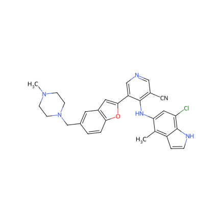 Cc1c(Nc2c(C#N)cncc2-c2cc3cc(CN4CCN(C)CC4)ccc3o2)cc(Cl)c2[nH]ccc12